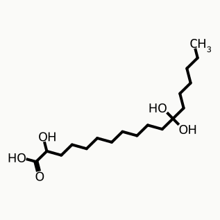 CCCCCCC(O)(O)CCCCCCCCCC(O)C(=O)O